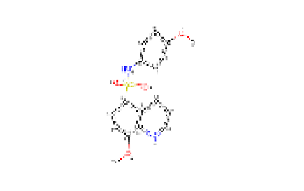 COc1ccc(NS(=O)(=O)c2ccc(OC)c3ncccc23)cc1